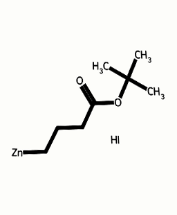 CC(C)(C)OC(=O)CC[CH2][Zn].I